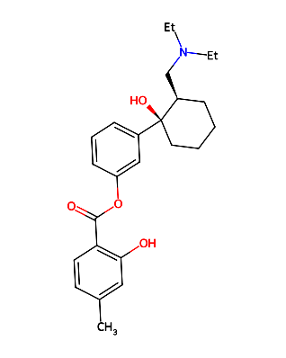 CCN(CC)C[C@H]1CCCC[C@]1(O)c1cccc(OC(=O)c2ccc(C)cc2O)c1